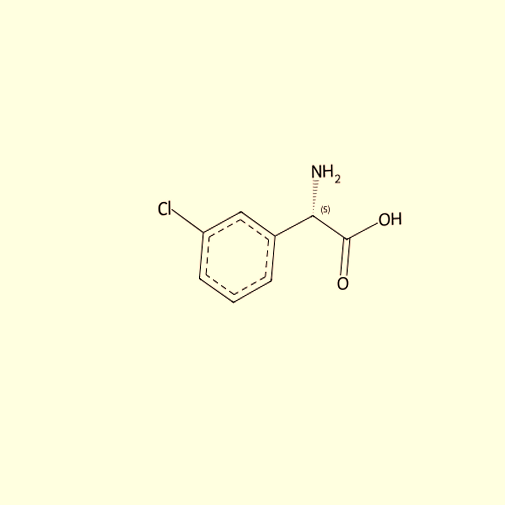 N[C@H](C(=O)O)c1cccc(Cl)c1